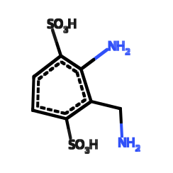 NCc1c(S(=O)(=O)O)ccc(S(=O)(=O)O)c1N